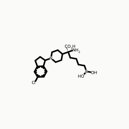 N[C@](CCCCB(O)O)(C(=O)O)C1CCN(C2CCc3cc(Cl)ccc32)CC1